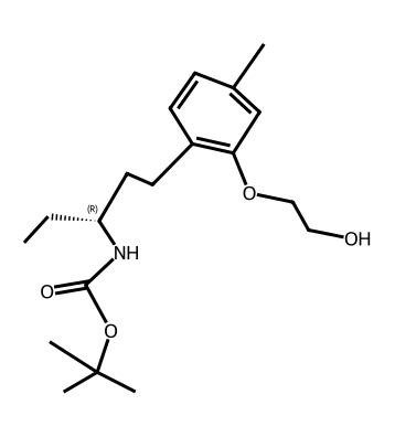 CC[C@H](CCc1ccc(C)cc1OCCO)NC(=O)OC(C)(C)C